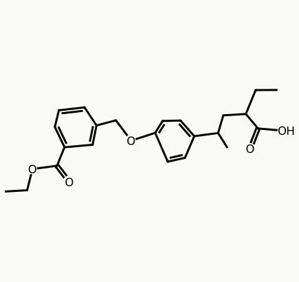 CCOC(=O)c1cccc(COc2ccc(C(C)CC(CC)C(=O)O)cc2)c1